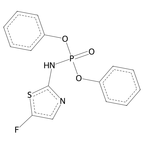 O=P(Nc1ncc(F)s1)(Oc1ccccc1)Oc1ccccc1